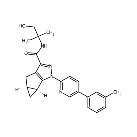 Cc1cccc(-c2ccc(-n3nc(C(=O)NC(C)(C)CO)c4c3[C@H]3C[C@H]3C4)nc2)c1